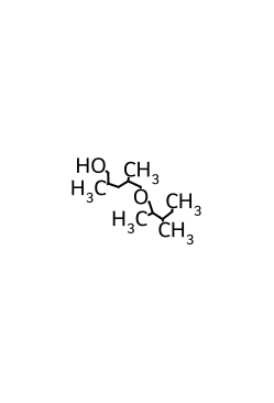 CCC(C)C(C)COCC(C)CC(C)CO